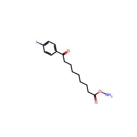 NOC(=O)CCCCCCCC(=O)c1ccc(I)cc1